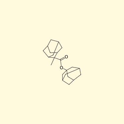 CC1(C(=O)OC23CC4CC(CC(C4)C2)C3)C2CC3CC(C2)CC1C3